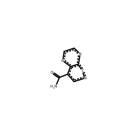 NC(=O)c1cncc2nc[c]nc12